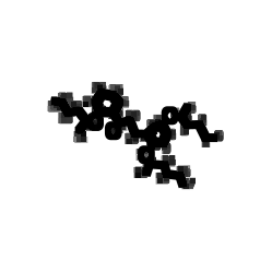 CCCCC(C)Oc1ccc(OC(C)CCCC)c(CCC(=O)c2ccccc2OC(C)CCCC)c1